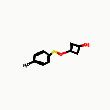 Cc1ccc(SOC2CC(O)C2)cc1